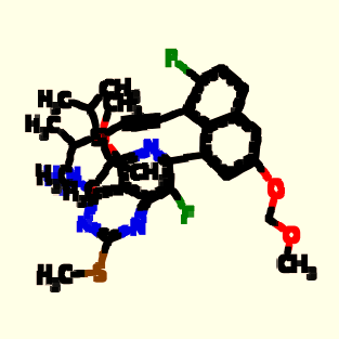 COCOc1cc(-c2nc(OC)c3c(N)nc(SC)nc3c2F)c2c(C#C[Si](C(C)C)(C(C)C)C(C)C)c(F)ccc2c1